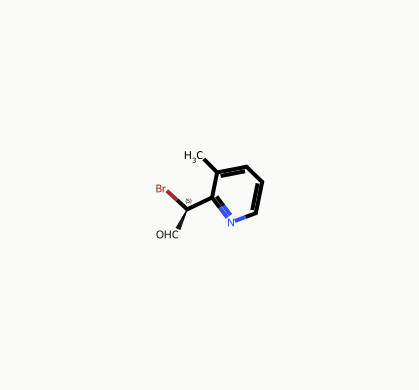 Cc1cccnc1[C@H](Br)C=O